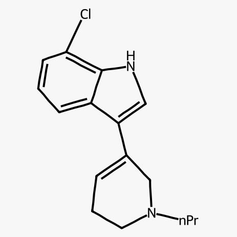 CCCN1CCC=C(c2c[nH]c3c(Cl)cccc23)C1